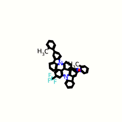 Cc1ccccc1-c1ccc2c(c1)c1ccccc1n2-c1ccc(C#N)cc1-c1ccc(C(F)(F)F)cc1-n1c2ccccc2c2cc(-c3ccccc3C)ccc21